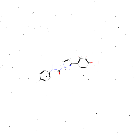 Cc1ccc(NC(=O)n2ccc(-c3ccc(O)c(O)c3O)n2)cc1